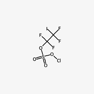 O=S(=O)(OCl)OC(F)(F)C(F)(F)I